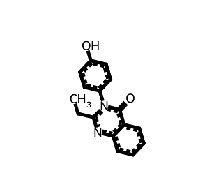 CCc1nc2ccccc2c(=O)n1-c1ccc(O)cc1